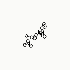 c1ccc(-c2nc(-c3ccc4c(c3)oc3ccccc34)nc(-c3ccc4c(c3)oc3ccc(-c5ccccc5-c5ccc6c(c5)c5ccccc5n6-c5ccccc5)cc34)n2)cc1